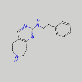 c1ccc(CCNc2ncc3c(n2)CCNCC3)cc1